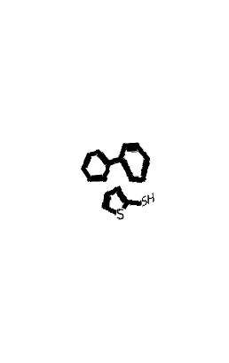 Sc1cccs1.c1ccc(-c2ccccc2)cc1